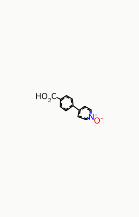 O=C(O)c1ccc(-c2cc[n+]([O-])cc2)cc1